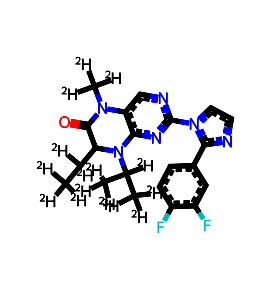 [2H]C([2H])([2H])N1C(=O)C(C([2H])([2H])C([2H])([2H])[2H])N(C([2H])(C([2H])([2H])[2H])C([2H])([2H])[2H])c2nc(-n3ccnc3-c3ccc(F)c(F)c3)ncc21